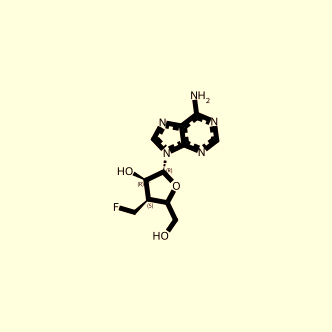 Nc1ncnc2c1ncn2[C@@H]1OC(CO)[C@@H](CF)[C@H]1O